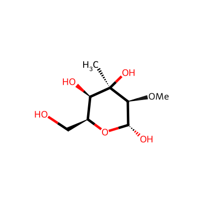 CO[C@H]1[C@H](O)O[C@@H](CO)[C@@H](O)[C@@]1(C)O